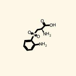 Nc1ccccc1S(=O)(=O)C[C@H](N)C(=O)O